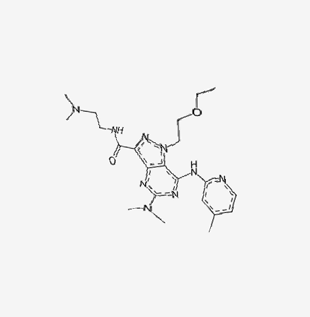 CCOCCn1nc(C(=O)NCCN(C)C)c2nc(N(C)C)nc(Nc3cc(C)ccn3)c21